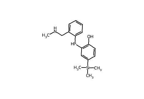 CNCc1ccccc1Pc1cc([Si](C)(C)C)ccc1O